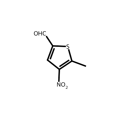 Cc1sc(C=O)cc1[N+](=O)[O-]